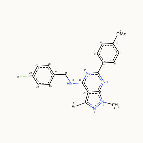 CCc1nn(C)c2nc(-c3ccc(OC)cc3)nc(NCc3ccc(F)cc3)c12